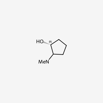 [CH2]NC1CCC[C@H]1O